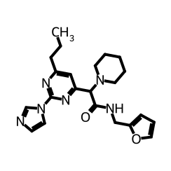 CCCc1cc(C(C(=O)NCc2ccco2)N2CCCCC2)nc(-n2ccnc2)n1